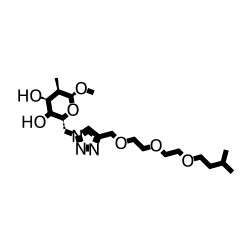 CO[C@H]1O[C@H](Cn2cc(COCCOCCOCCC(C)C)nn2)C(O)[C@H](O)[C@H]1C